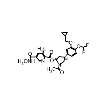 CNC(=O)c1cnc(C(=O)O[C@@H]2C[C@@H](c3ccc(OC(F)F)c(OCC4CC4)c3)CN2C(C)=O)c(C)c1